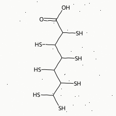 O=C(O)C(S)C(S)C(S)C(S)C(S)C(S)S